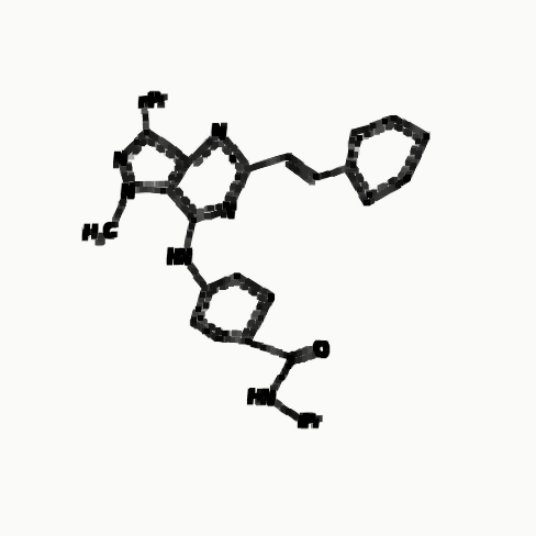 CCCc1nn(C)c2c(Nc3ccc(C(=O)NC(C)C)cc3)nc(C=Cc3ccccc3)nc12